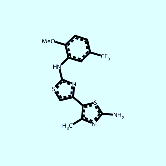 COc1ccc(C(F)(F)F)cc1Nc1nc(-c2sc(N)nc2C)cs1